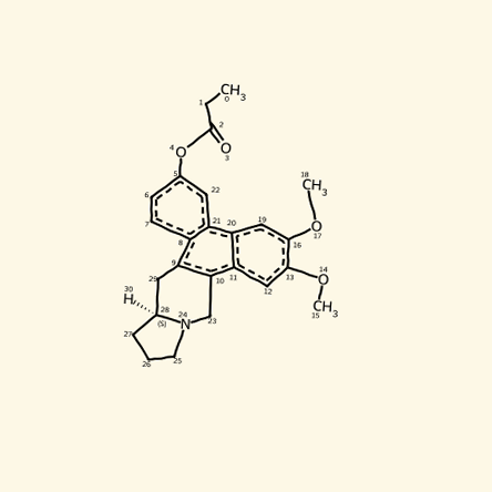 CCC(=O)Oc1ccc2c3c(c4cc(OC)c(OC)cc4c2c1)CN1CCC[C@H]1C3